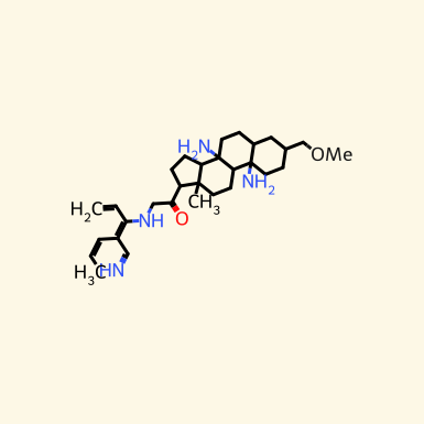 C=C/C(NCC(=O)C1CCC2C1(C)CCC1C3(N)CCC(COC)CC3CCC21N)=C(C=N)\C=C/C